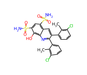 Cc1c(Cl)cccc1-c1cc2c(S(N)(=O)=O)cc(S(N)(=O)=O)c(O)c2nc1-c1cccc(Cl)c1C